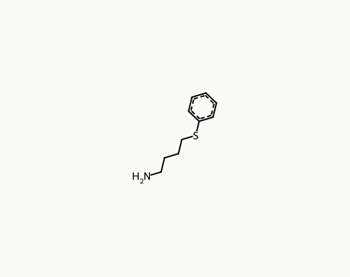 NCCCCSc1ccccc1